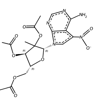 CC(=O)OC[C@H]1O[C@@H](n2cc([N+](=O)[O-])c3c(N)ncnc32)C(C)(OC(C)=O)[C@@H]1OC(C)=O